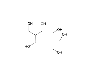 CC(CO)(CO)CO.OCC(CO)CO